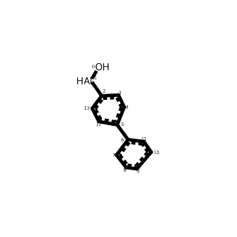 [OH][AlH][c]1ccc(-c2ccccc2)cc1